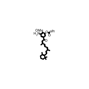 CCCC(=O)Oc1cc(C(=O)C=C(C)C=CC=C(C)C=CC2=C(C)CCCC2(C)C)cc(N)c1OC